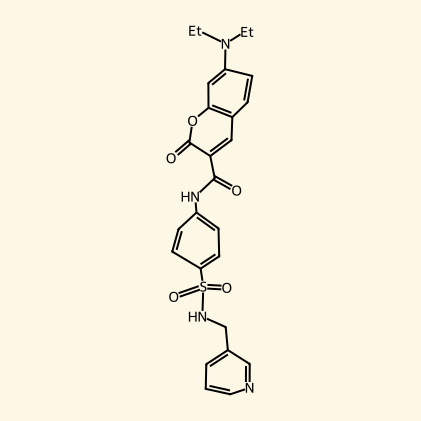 CCN(CC)c1ccc2cc(C(=O)Nc3ccc(S(=O)(=O)NCc4cccnc4)cc3)c(=O)oc2c1